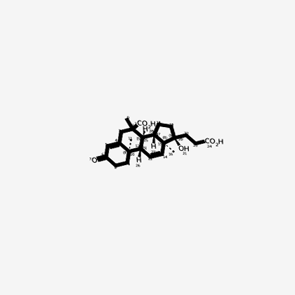 CC1(C(=O)O)CC2=CC(=O)CC[C@]2(C)[C@H]2C=C[C@@]3(C)[C@@H](CC[C@]3(O)CCC(=O)O)[C@@H]21